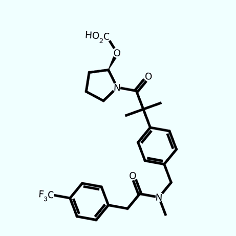 CN(Cc1ccc(C(C)(C)C(=O)N2CCC[C@H]2OC(=O)O)cc1)C(=O)Cc1ccc(C(F)(F)F)cc1